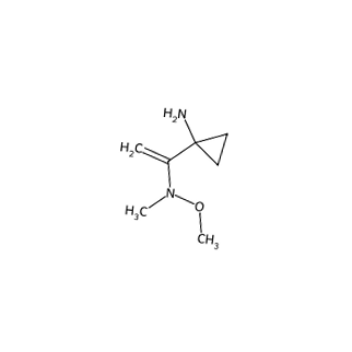 C=C(N(C)OC)C1(N)CC1